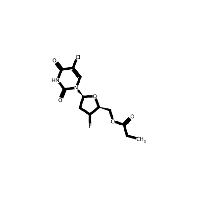 CCC(=O)OC[C@@H]1O[C@H](n2cc(Cl)c(=O)[nH]c2=O)CC1F